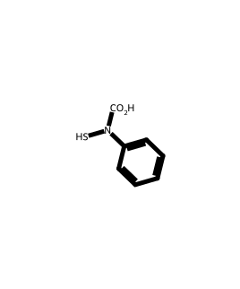 O=C(O)N(S)c1ccccc1